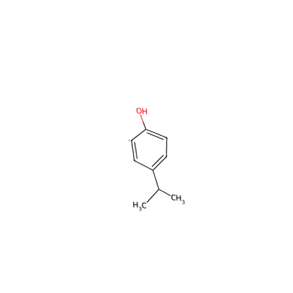 CC(C)c1c[c]c(O)cc1